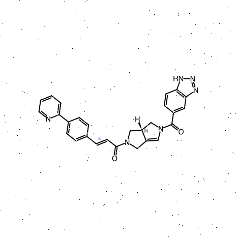 O=C(c1ccc2[nH]nnc2c1)N1C=C2CN(C(=O)/C=C/c3ccc(-c4ccccn4)cc3)C[C@@H]2C1